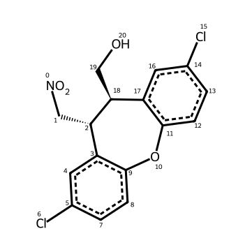 O=[N+]([O-])C[C@H]1c2cc(Cl)ccc2Oc2ccc(Cl)cc2[C@@H]1CO